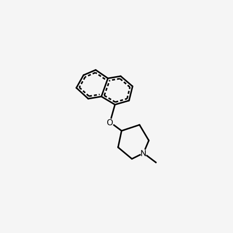 CN1CCC(Oc2cccc3ccccc23)CC1